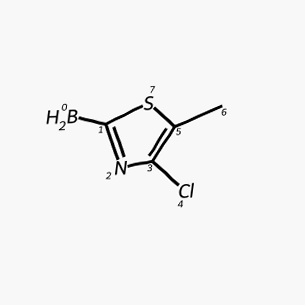 Bc1nc(Cl)c(C)s1